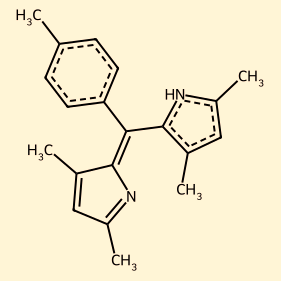 CC1=CC(C)=N/C1=C(/c1ccc(C)cc1)c1[nH]c(C)cc1C